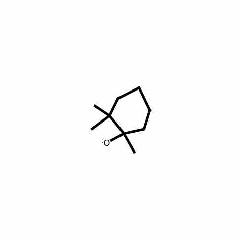 CC1(C)CCCCC1(C)[O]